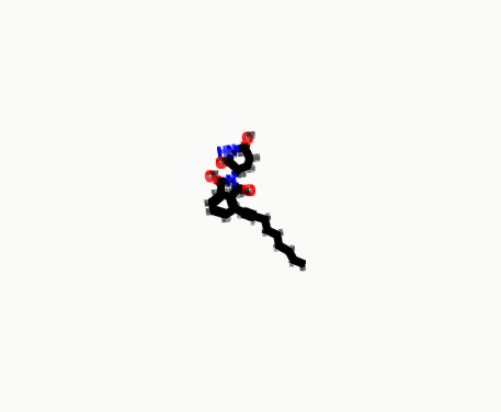 CCCCCCCC#Cc1cccc2c1C(=O)N(C1CCC(=O)NC1=O)C2=O